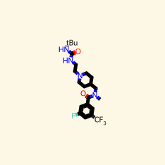 CN(CC1CCN(CCNC(=O)NC(C)(C)C)CC1)C(=O)c1cc(F)cc(C(F)(F)F)c1